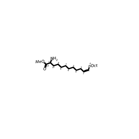 CCCCCCCC/C=C\CCCCCCCCC(N)C(=O)OC